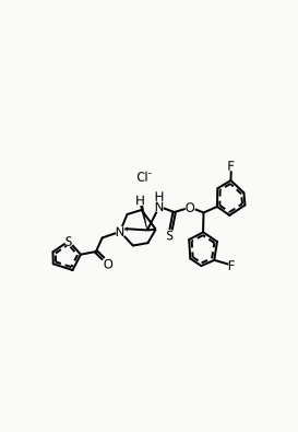 O=C(C[N+]12CCC(CC1)[C@@H](NC(=S)OC(c1cccc(F)c1)c1cccc(F)c1)C2)c1cccs1.[Cl-]